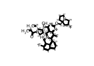 C#Cc1c(F)ccc2cccc(-c3ncc4c(N(C)[C@@H]5CCN(C(=O)C=C)[C@@H]5C=C)nc(OC[C@@]56CCCN5C[C@H](F)C6)nc4c3F)c12